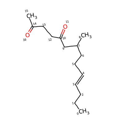 CCCC=CCCC(C)CC(=O)CCC(C)=O